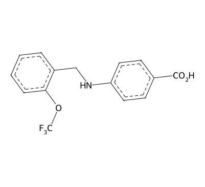 O=C(O)c1ccc(NCc2ccccc2OC(F)(F)F)cc1